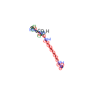 O=C(CCOCCOCCOCCOCCOCCOCCOCCOCCNC(=O)CCN1C(=O)C=CC1=O)NCCCOc1cc(Cl)c(C(=O)N[C@@H](Cc2ccc(NC(=O)c3c(Cl)cccc3Cl)cc2)C(=O)O)c(Cl)c1